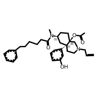 C=CCN1CC[C@@]2(c3cccc(O)c3)C[C@@H](N(C)C(=O)CCCCCc3ccccc3)CC[C@]2(OC(C)=O)C1